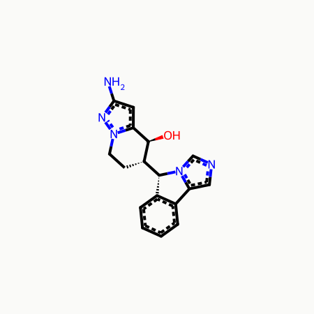 Nc1cc2n(n1)CC[C@@H]([C@H]1c3ccccc3-c3cncn31)[C@@H]2O